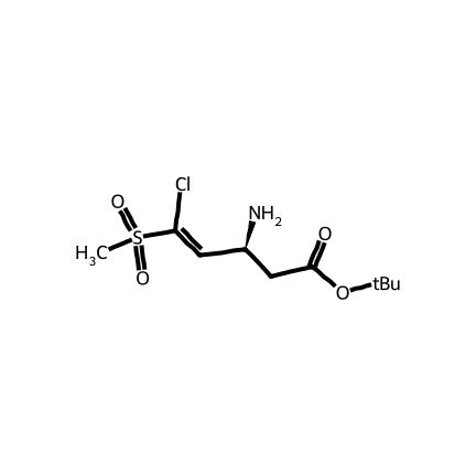 CC(C)(C)OC(=O)C[C@H](N)/C=C(\Cl)S(C)(=O)=O